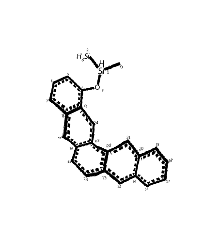 C[SiH]([SiH3])Oc1cccc2cc3ccc4cc5ccccc5cc4c3cc12